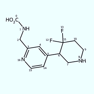 O=C(O)NCc1cc(C2CNCCC2(F)F)ccn1